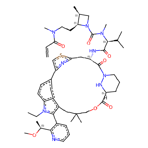 C=CC(=O)N(C)CC[C@H]1[C@@H](C)CN1C(=O)N(C)[C@H](C(=O)N[C@H]1Cc2nc(cs2)-c2ccc3c(c2)c(c(-c2cccnc2[C@H](C)OC)n3CC)CC(C)(C)COC(=O)[C@@H]2CCCN(N2)C1=O)C(C)C